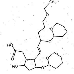 CCOCCCC(C=CC1C(OC2CCCCO2)CC(O)C1CC(=O)O)OC1CCCCO1